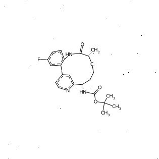 C[C@@H]1CCC[C@H](NC(=O)OC(C)(C)C)c2cc(ccn2)-c2cc(F)ccc2NC1=O